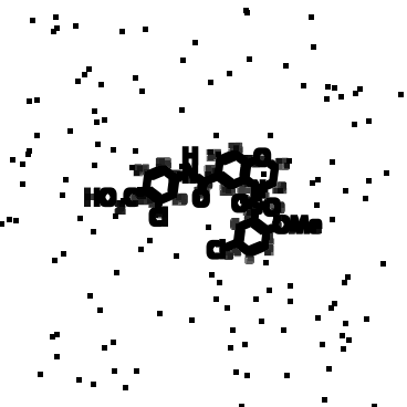 COc1ccc(Cl)cc1S(=O)(=O)N1CCOc2ccc(C(=O)Nc3ccc(C(=O)O)c(Cl)c3)cc21